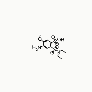 CCN(CC)S(=O)(=O)c1cc(N)c(OC)cc1S(=O)(=O)O